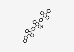 c1ccc(-c2c3ccccc3c(-c3ccc(-c4c5ccccc5c(-c5ccc(-c6c7ccccc7c(-c7ccc8ccccc8c7)c7ccccc67)cc5)c5ccncc45)cc3)c3ccccc23)cc1